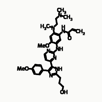 C=CC(=O)Nc1cc(Nc2nccc(-c3[nH]c(CCCO)nc3-c3ccc(OC)cc3)n2)c(OC)cc1N(C)CCN(C)C